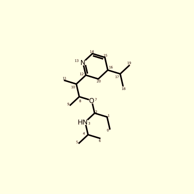 CCC(NC(C)C)OC(C)C(C)C1=NC=CC(C(C)C)C1